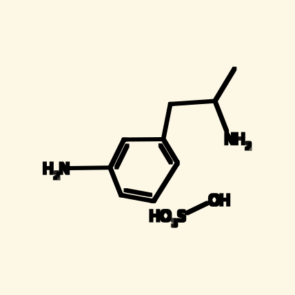 CC(N)Cc1cccc(N)c1.O=S(=O)(O)O